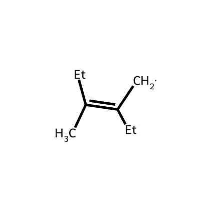 [CH2]C(CC)=C(C)CC